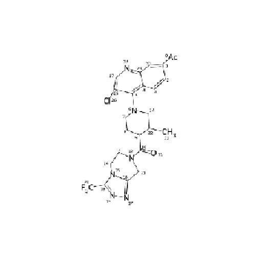 CC(=O)c1ccc2c(N3CCC(C(=O)N4CCn5c(nnc5C(F)(F)F)C4)C(C)C3)c(Cl)cnc2c1